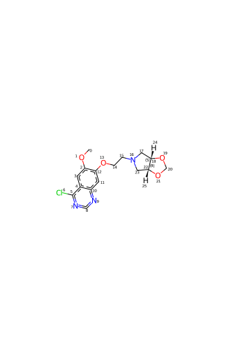 COc1cc2c(Cl)ncnc2cc1OCCN1C[C@@H]2OCO[C@@H]2C1